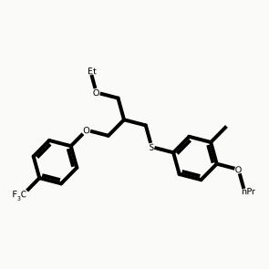 CCCOc1ccc(SCC(COCC)COc2ccc(C(F)(F)F)cc2)cc1C